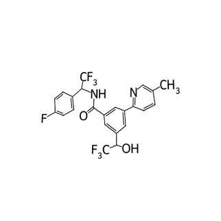 Cc1ccc(-c2cc(C(=O)NC(c3ccc(F)cc3)C(F)(F)F)cc(C(O)C(F)(F)F)c2)nc1